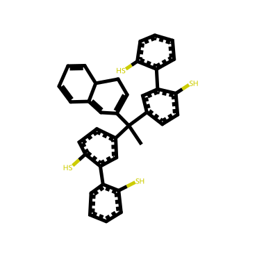 CC(C1=CCC2C=CC=CC2=C1)(c1ccc(S)c(-c2ccccc2S)c1)c1ccc(S)c(-c2ccccc2S)c1